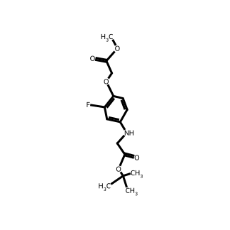 COC(=O)COc1ccc(NCC(=O)OC(C)(C)C)cc1F